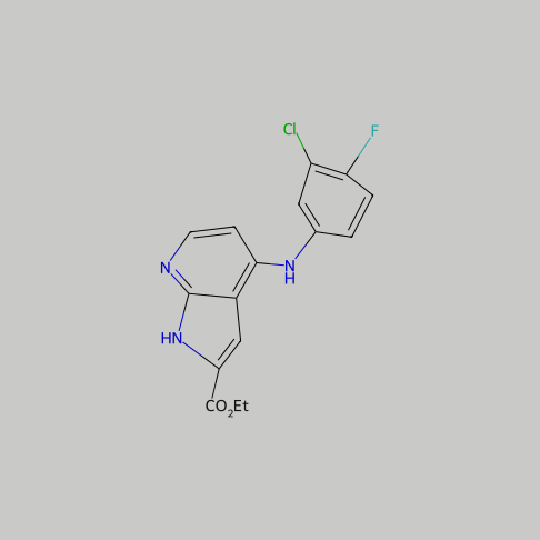 CCOC(=O)c1cc2c(Nc3ccc(F)c(Cl)c3)ccnc2[nH]1